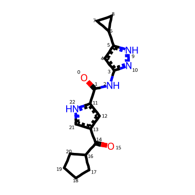 O=C(Nc1cc(C2CC2)[nH]n1)c1cc(C(=O)C2CCCC2)c[nH]1